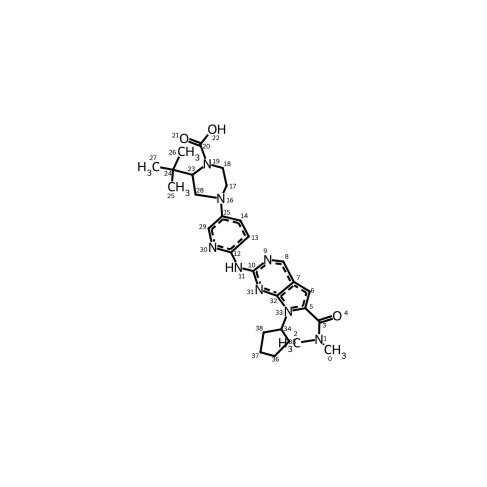 CN(C)C(=O)c1cc2cnc(Nc3ccc(N4CCN(C(=O)O)C(C(C)(C)C)C4)cn3)nc2n1C1CCCC1